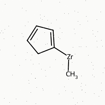 [CH3][Zr][C]1=CC=CC1